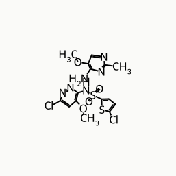 COc1cc(Cl)nnc1NS(=O)(=O)c1ccc(Cl)s1.COc1cnc(C)nc1N